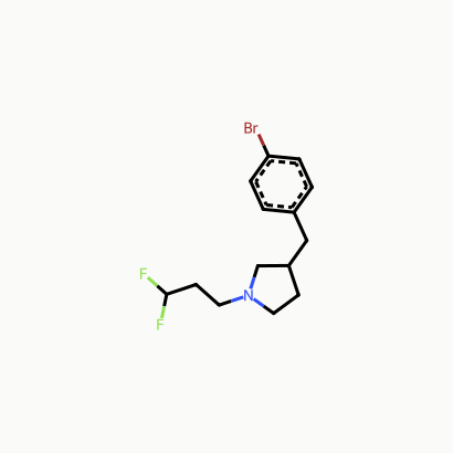 FC(F)CCN1CCC(Cc2ccc(Br)cc2)C1